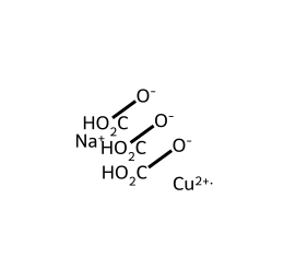 O=C([O-])O.O=C([O-])O.O=C([O-])O.[Cu+2].[Na+]